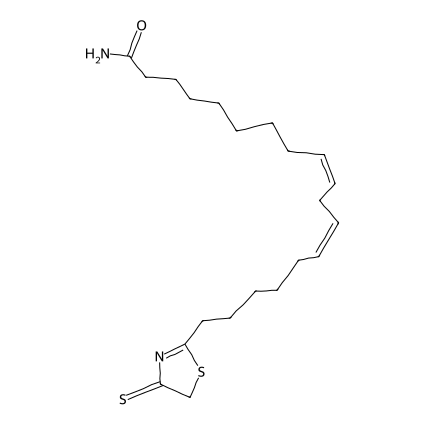 NC(=O)CCCCCCC/C=C\C/C=C\CCCCCC1=NC(=S)CS1